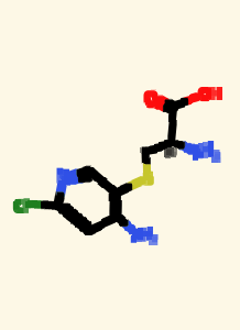 Nc1cc(Cl)ncc1SC[C@H](N)C(=O)O